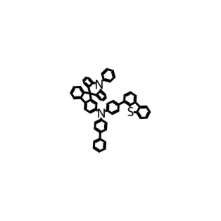 c1ccc(-c2ccc(N(c3ccc(-c4cccc5c4sc4ccccc45)cc3)c3ccc4c(c3)C3(c5ccccc5-4)c4ccccc4N(c4ccccc4)c4ccccc43)cc2)cc1